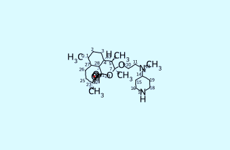 C[C@@H]1CC[C@H]2[C@@H](C)[C@@](C)(OCCN(C)C3CCNCC3)O[C@@H]3O[C@]4(C)CCC1[C@]32OO4